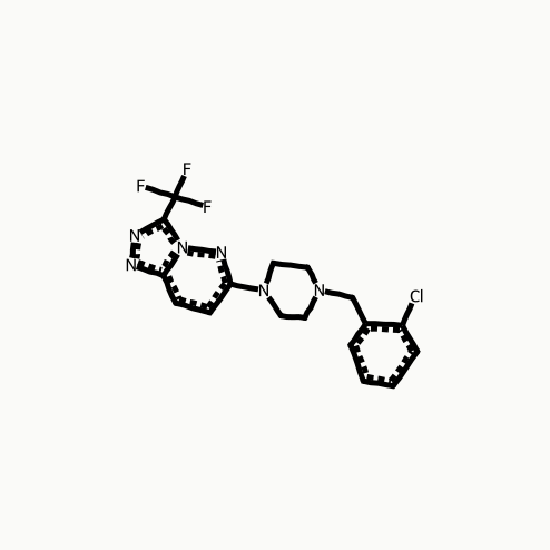 FC(F)(F)c1nnc2ccc(N3CCN(Cc4ccccc4Cl)CC3)nn12